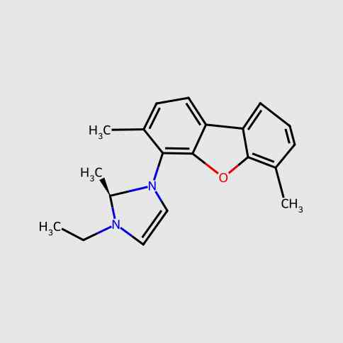 CCN1C=CN(c2c(C)ccc3c2oc2c(C)cccc23)[C@@H]1C